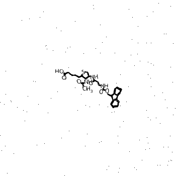 CC(=O)NC1C(NC(=O)CCNC(=O)OCC2c3ccccc3-c3ccccc32)CSC1CCCCC(=O)O